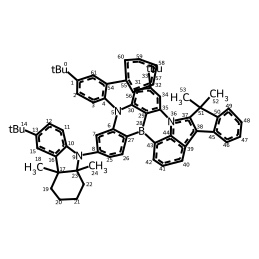 CC(C)(C)c1ccc(N2c3cc(N4c5ccc(C(C)(C)C)cc5C5(C)CCCCC45C)ccc3B3c4c2cc(C(C)(C)C)cc4-n2c4c(c5cccc3c52)-c2ccccc2C4(C)C)c(-c2ccccc2)c1